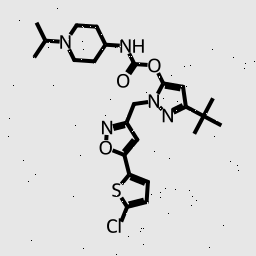 CC(C)N1CCC(NC(=O)Oc2cc(C(C)(C)C)nn2Cc2cc(-c3ccc(Cl)s3)on2)CC1